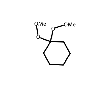 COOC1(OOC)CCCCC1